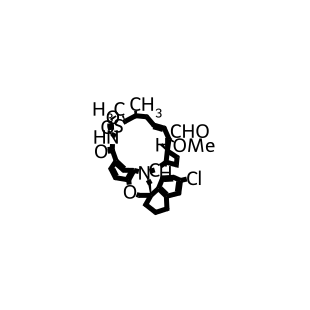 CO[C@@]1(C=O)/C=C/C[C@H](C)[C@@H](C)S(=O)(=O)NC(=O)c2ccc3c(c2)N(C[C@@H]2CC[C@H]21)C[C@@]1(CCCc2cc(Cl)ccc21)CO3